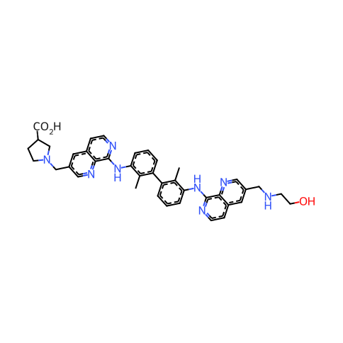 Cc1c(Nc2nccc3cc(CNCCO)cnc23)cccc1-c1cccc(Nc2nccc3cc(CN4CCC(C(=O)O)C4)cnc23)c1C